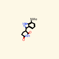 CNc1cccc2c(C3CCC(=O)NC3=O)n[nH]c12